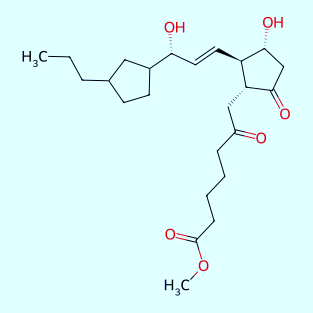 CCCC1CCC([C@H](O)/C=C/[C@H]2[C@H](O)CC(=O)[C@@H]2CC(=O)CCCCC(=O)OC)C1